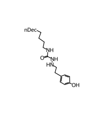 CCCCCCCCCCCCCCNC(=O)NNCCc1ccc(O)cc1